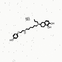 CCCN(CCCCCCNCCOc1ccc(O)cc1)C1CCc2c(ccc(O)c2O)C1.Cl.Cl